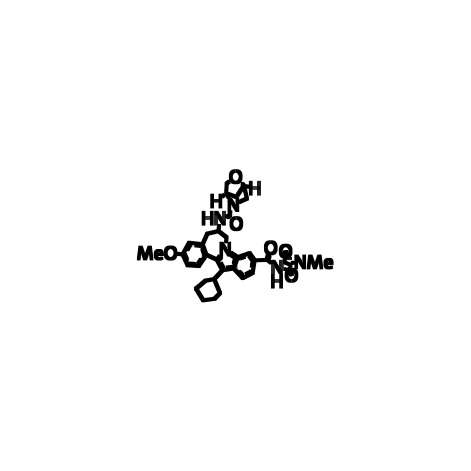 CNS(=O)(=O)NC(=O)c1ccc2c(C3CCCCC3)c3n(c2c1)CC(NC(=O)N1C[C@@H]2C[C@H]1CO2)Cc1cc(OC)ccc1-3